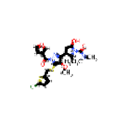 COc1c(C2CC(O)N(C(=O)N(C)C)C2C)nn(C(=O)c2ccoc2)c1SCc1ccc(Cl)s1